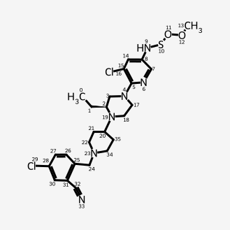 CC[C@H]1CN(c2ncc(NSOOC)cc2Cl)CCN1C1CCN(Cc2ccc(Cl)cc2C#N)CC1